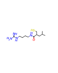 CC(C)CC(CS)C(=O)NCCCCNC(=N)N